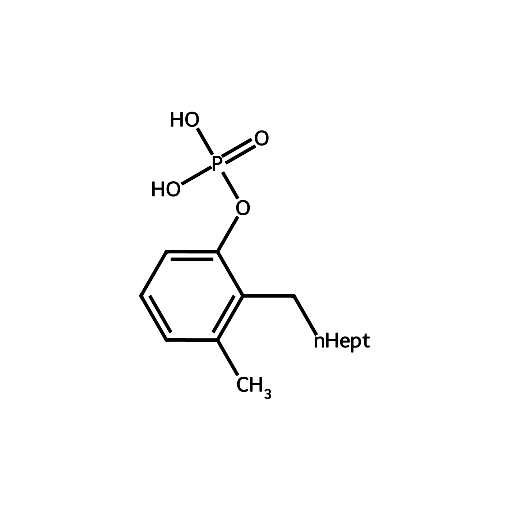 CCCCCCCCc1c(C)cccc1OP(=O)(O)O